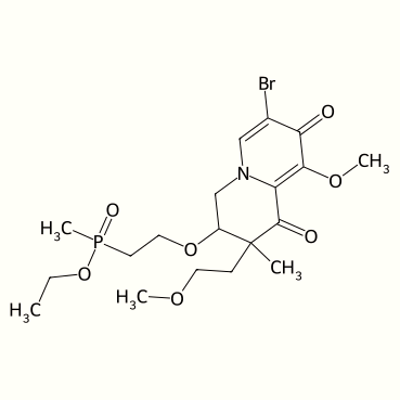 CCOP(C)(=O)CCOC1Cn2cc(Br)c(=O)c(OC)c2C(=O)C1(C)CCOC